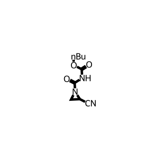 CCCCOC(=O)NC(=O)N1CC1C#N